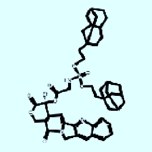 CC[C@@]1(OC(=O)CNP(=O)(OCCC23CC4CC(CC(C4)C2)C3)OCCC23CCC4CCC(CC4C2)C3)C(=O)OCc2c1cc1n(c2=O)Cc2cc3ccccc3nc2-1